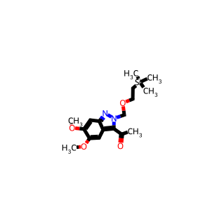 COc1cc2nn(COCC[Si](C)(C)C)c(C(C)=O)c2cc1OC